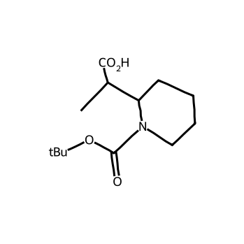 CC(C(=O)O)C1CCCCN1C(=O)OC(C)(C)C